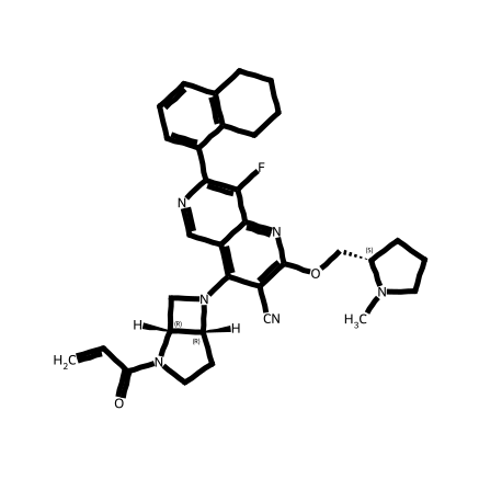 C=CC(=O)N1CC[C@@H]2[C@H]1CN2c1c(C#N)c(OC[C@@H]2CCCN2C)nc2c(F)c(-c3cccc4c3CCCC4)ncc12